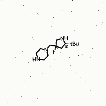 CC(C)(C)[C@@H]1C[C@](F)(CN2CCNCC2)CN1